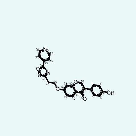 O=c1c(-c2ccc(O)cc2)coc2cc(OCCc3noc(-c4ccncc4)n3)ccc12